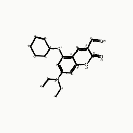 CCN(CC)c1cc(OC2CCCCC2)c2cc(C=O)c(=O)oc2c1